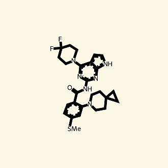 CSc1ccc(C(=O)Nc2nc(N3CCC(F)(F)CC3)c3cc[nH]c3n2)c(N2CCC3(CC2)CC3)c1